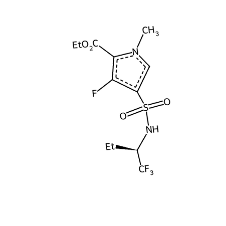 CCOC(=O)c1c(F)c(S(=O)(=O)N[C@H](CC)C(F)(F)F)cn1C